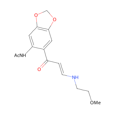 COCCN/C=C/C(=O)c1cc2c(cc1NC(C)=O)OCO2